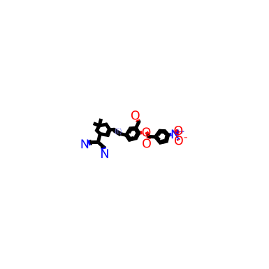 CC1(C)CC(/C=C/c2ccc(OC(=O)c3ccc([N+](=O)[O-])cc3)c(C=O)c2)=CC(C(C#N)C#N)C1